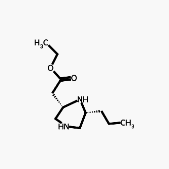 CCC[C@@H]1CNC[C@H](CC(=O)OCC)N1